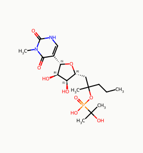 CCCC(C)(C[C@H]1O[C@@H](c2c[nH]c(=O)n(C)c2=O)[C@H](O)[C@@H]1O)OP(=O)(O)C(C)(C)O